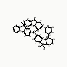 CC1(C)c2ccccc2-c2ccc(N(c3ccc4c(c3)-c3c(-c5ccccc5)cccc3C4(C)C)c3cccc4sc5ccccc5c34)cc21